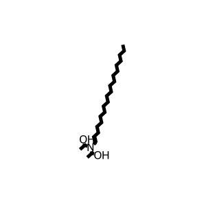 CCCCCCCCCCCCCCCCCCC=CN(C(C)O)C(C)O